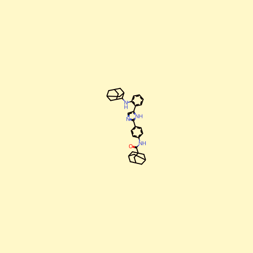 O=C(Nc1ccc(-c2ncc(-c3ccccc3NC3C4CC5CC(C4)CC3C5)[nH]2)cc1)C12CC3CC(CC(C3)C1)C2